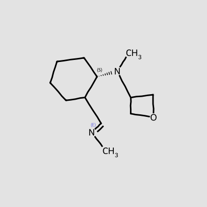 C/N=C/C1CCCC[C@@H]1N(C)C1COC1